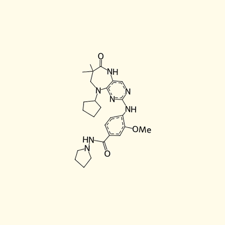 COc1cc(C(=O)NN2CCCC2)ccc1Nc1ncc2c(n1)N(C1CCCC1)CC(C)(C)C(=O)N2